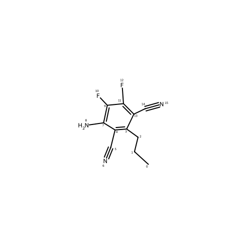 CCCc1c(C#N)c(N)c(F)c(F)c1C#N